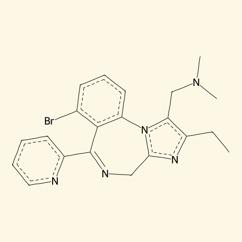 CCc1nc2n(c1CN(C)C)-c1cccc(Br)c1C(c1ccccn1)=NC2